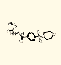 CC(C)(C)OC(=O)NNC(=O)c1ccc(S(=O)(=O)N2CCOCC2)cc1